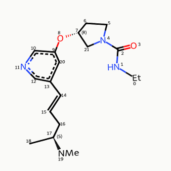 CCNC(=O)N1CC[C@@H](Oc2cncc(C=CC[C@H](C)NC)c2)C1